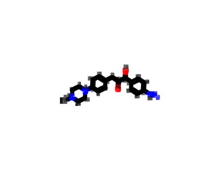 CCN1CCN(c2ccc(CC(=O)C(=O)c3ccc(N)cc3)cc2)CC1